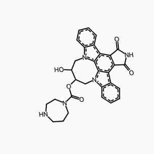 O=C1NC(=O)c2c1c1c3ccccc3n3c1c1c2c2ccccc2n1CC(OC(=O)N1CCCNCC1)C(O)C3